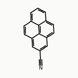 N#Cc1cc2ccc3cccc4ccc(c1)c2c34